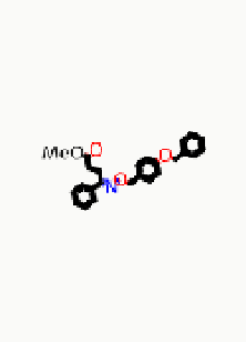 COC(=O)CC/C(=N\OCc1ccc(OCc2ccccc2)cc1)c1ccccc1